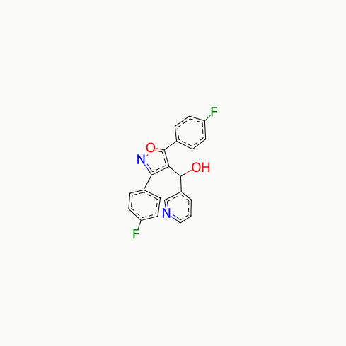 OC(c1cccnc1)c1c(-c2ccc(F)cc2)noc1-c1ccc(F)cc1